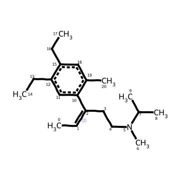 C/C=C(/CCN(C)C(C)C)c1cc(CC)c(CC)cc1C